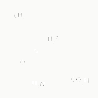 C=CC[S+]([O-])CC(N)C(=O)O.S